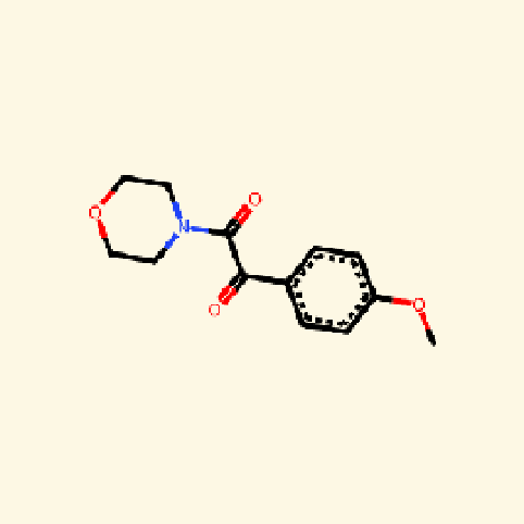 COc1ccc(C(=O)C(=O)N2CCOCC2)cc1